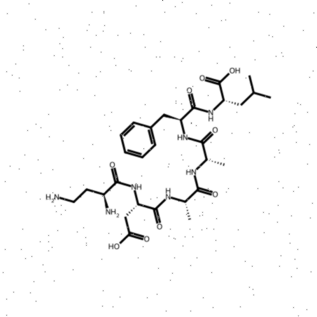 CC(C)C[C@H](NC(=O)[C@H](Cc1ccccc1)NC(=O)[C@H](C)NC(=O)[C@H](C)NC(=O)[C@H](CC(=O)O)NC(=O)[C@@H](N)CCN)C(=O)O